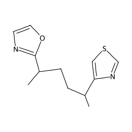 CC(CCC(C)c1ncco1)c1cscn1